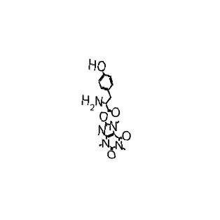 Cn1c(=O)c2c(nc(OC(=O)[C@@H](N)Cc3ccc(O)cc3)n2C)n(C)c1=O